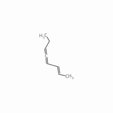 CC=CC=C=CCC